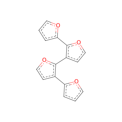 c1coc(-c2ccoc2-c2ccoc2-c2ccco2)c1